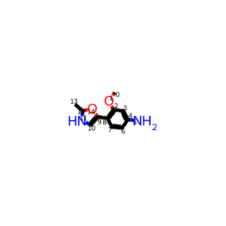 COc1cc(N)ccc1C1=CNC(C)O1